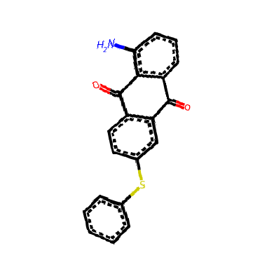 Nc1cccc2c1C(=O)c1ccc(Sc3ccccc3)cc1C2=O